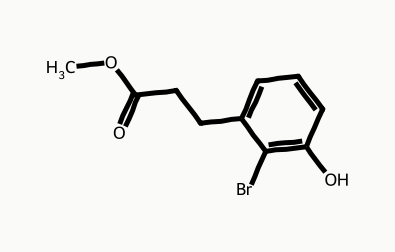 COC(=O)CCc1cccc(O)c1Br